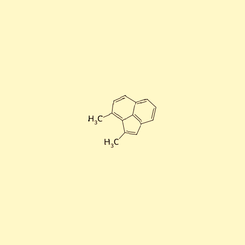 CC1=Cc2cccc3ccc(C)c1c23